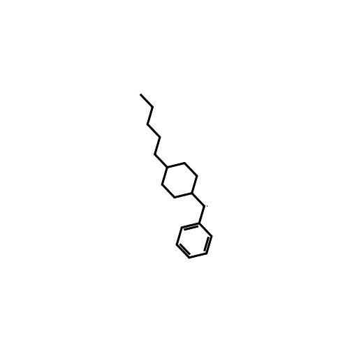 CCCCCC1CCC([CH]c2ccccc2)CC1